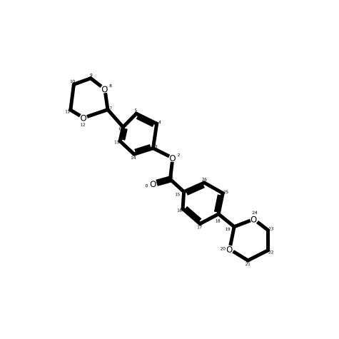 O=C(Oc1ccc(C2OCCCO2)cc1)c1ccc(C2OCCCO2)cc1